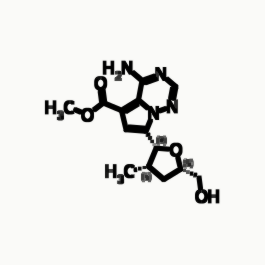 COC(=O)c1cc([C@@H]2O[C@H](CO)C[C@@H]2C)n2ncnc(N)c12